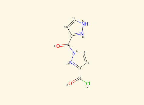 O=C(Cl)c1ccn(C(=O)c2cc[nH]n2)n1